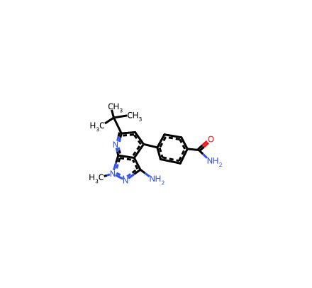 Cn1nc(N)c2c(-c3ccc(C(N)=O)cc3)cc(C(C)(C)C)nc21